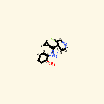 Oc1ccccc1NC(=C1CC1)c1ccncc1F